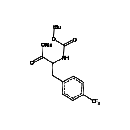 COC(=O)C(Cc1ccc(C(F)(F)F)cc1)NC(=O)OC(C)(C)C